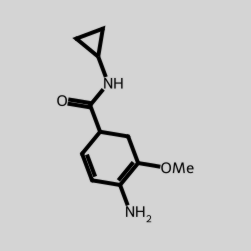 COC1=C(N)C=CC(C(=O)NC2CC2)C1